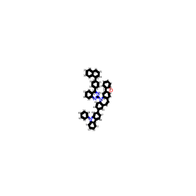 C1=Cc2cc3oc4ccccc4c3cc2N(c2nc(-c3ccc(-c4cccc5ccccc45)cc3)c3ccccc3n2)c2ccc(-c3ccc4c5ccccc5n(-c5ccccc5)c4c3)cc21